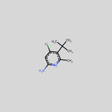 Cc1nc(N)cc(Cl)c1C(C)(C)C